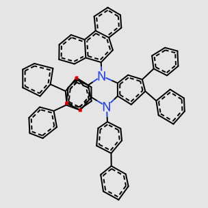 c1ccc(-c2ccc(N(c3ccc(-c4ccccc4)cc3)c3cc(-c4ccccc4)c(-c4ccccc4)cc3N(c3ccc(-c4ccccc4)cc3)c3cc4ccccc4c4ccccc34)cc2)cc1